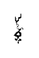 CCCCC([CH]OOC(=O)c1ccc([Si](C)(C)C)cc1)CC